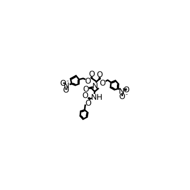 O=C(NC1CN(C(C(=O)OCc2ccc([N+](=O)[O-])cc2)C(=O)OCc2ccc([N+](=O)[O-])cc2)C1=O)OCc1ccccc1